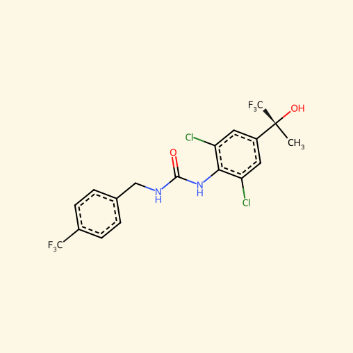 C[C@@](O)(c1cc(Cl)c(NC(=O)NCc2ccc(C(F)(F)F)cc2)c(Cl)c1)C(F)(F)F